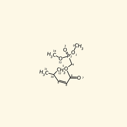 COP(=O)(COC(=O)/C=C\C(C)C)OC